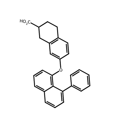 O=C(O)C1CCc2ccc(Oc3cccc4cccc(-c5ccccc5)c34)cc2C1